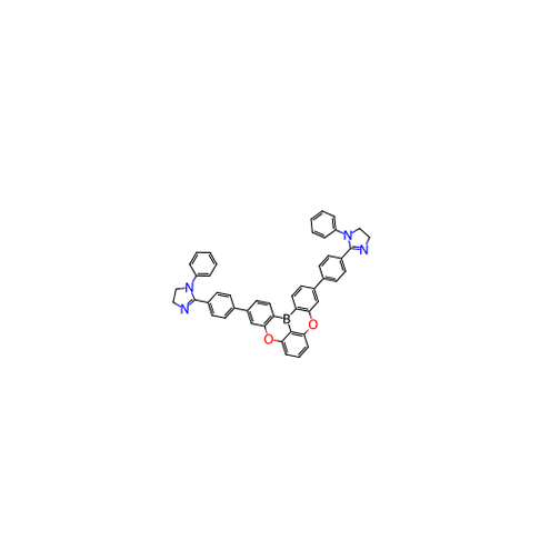 c1ccc(N2CCN=C2c2ccc(-c3ccc4c(c3)Oc3cccc5c3B4c3ccc(-c4ccc(C6=NCCN6c6ccccc6)cc4)cc3O5)cc2)cc1